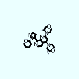 C[C@@H]1CN(c2cc(N3CCOC[C@H]3C)nc3c(-c4ccnn4C4CCCCO4)nccc23)CCO1